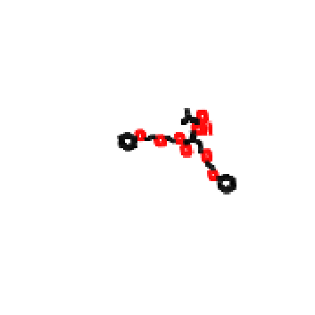 C=C(C)C(=O)O.C=C(CCOCCOc1ccccc1)C(=O)OCCOCCOc1ccccc1